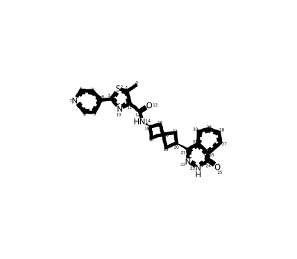 Cc1sc(-c2ccncc2)nc1C(=O)N[C@H]1CC2(C1)C[C@H](c1n[nH]c(=O)c3ccccc31)C2